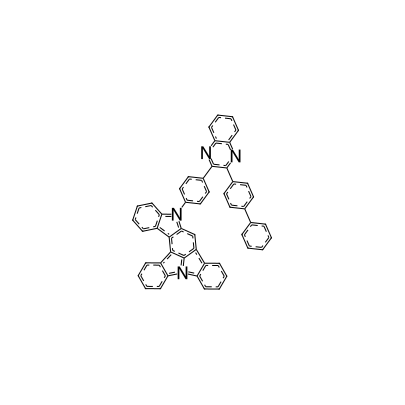 c1ccc(-c2ccc(-c3nc4ccccc4nc3-c3ccc(-n4c5ccccc5c5c6c7ccccc7n7c8ccccc8c(cc54)c67)cc3)cc2)cc1